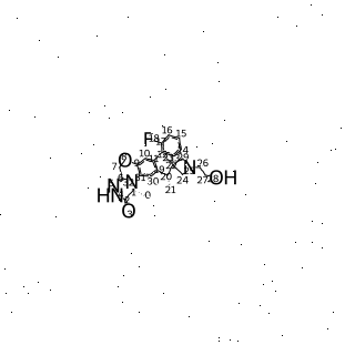 C[C@@H]1C(=O)NN=C2COc3cc(-c4ccccc4F)c([C@@H](C)C4(C)CN(CCO)C4)cc3N21